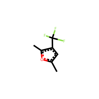 Cc1cc(C(F)(F)F)c(C)o1